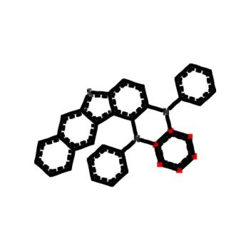 c1ccc(N(c2ccccc2)c2ccc3sc4cc5ccccc5cc4c3c2N(c2ccccc2)c2ccccc2)cc1